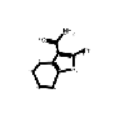 CC(C)c1sc2c(c1C(N)=O)CCCC2